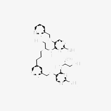 CCCC[C@@H](CO)Nc1nc(N)ncc1OCc1cc(CCC[C@@H](CO)Nc2nc(N)ncc2OCc2cccnn2)cnn1